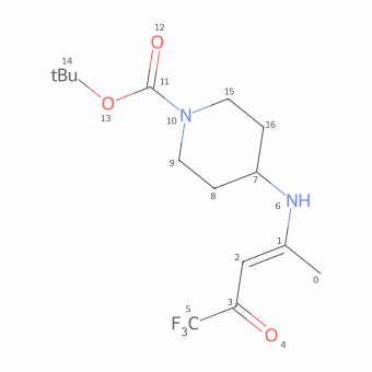 CC(=CC(=O)C(F)(F)F)NC1CCN(C(=O)OC(C)(C)C)CC1